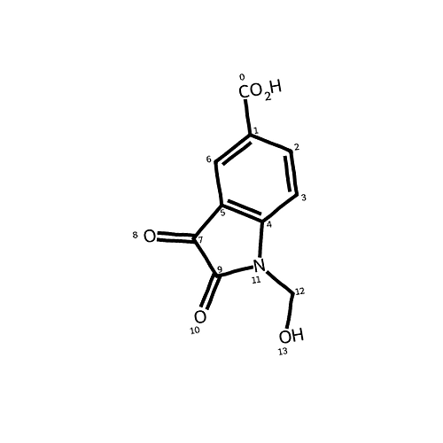 O=C(O)c1ccc2c(c1)C(=O)C(=O)N2CO